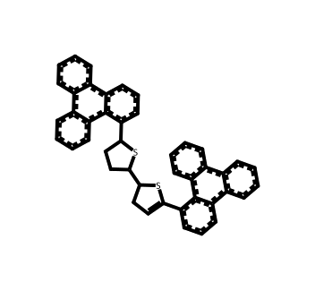 C1=C(c2cccc3c4ccccc4c4ccccc4c23)SC(C2CCC(c3cccc4c5ccccc5c5ccccc5c34)S2)C1